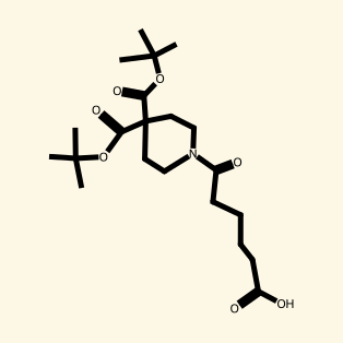 CC(C)(C)OC(=O)C1(C(=O)OC(C)(C)C)CCN(C(=O)CCCCC(=O)O)CC1